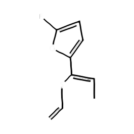 C=CS/C(=C\C)c1ccc(F)o1